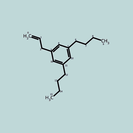 C=CCc1cc(CCCC)cc(CCCC)c1